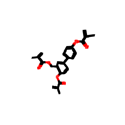 C=C(C)C(=O)OCc1cc(-c2ccc(OC(=O)C(=C)C)cc2)ccc1OC(=O)C(=C)C